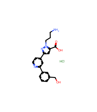 Cl.NCCCn1nc(-c2ccnc(-c3cccc(CO)c3)c2)cc1C(=O)O